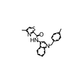 Cc1ccc(Cn2cc(NC(=O)c3nc(C)cs3)c3ccccc32)cc1